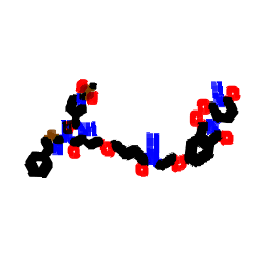 CS(=O)(=O)n1ccc(C(=O)N[C@@H](CCOCCCC(=O)NCCOc2ccc3c(c2)C(=O)N(C2CCC(=O)NC2=O)C3=O)C(=O)Nc2nc(-c3ccccc3)cs2)c1